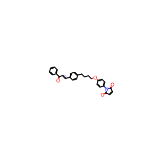 O=C(/C=C/c1ccc(CCCCOc2ccc(N3C(=O)C=CC3=O)cc2)cc1)c1ccccc1